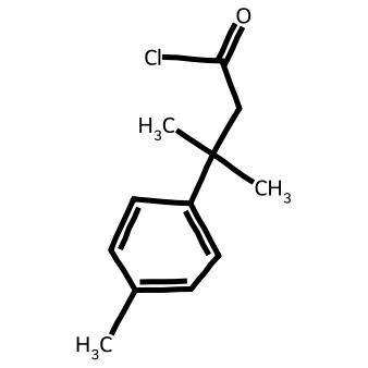 Cc1ccc(C(C)(C)CC(=O)Cl)cc1